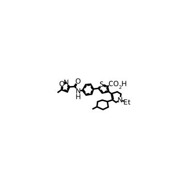 CCN1CCC(c2cc(-c3ccc(NC(=O)c4cc(C)on4)cc3)sc2C(=O)O)=C(C2CCC(C)CC2)C1